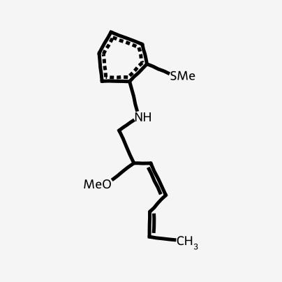 C/C=C\C=C/C(CNc1ccccc1SC)OC